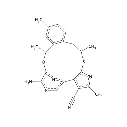 Cc1ccc2c(c1)[C@@H](C)Oc1nc(cnc1N)-c1c(nn(C)c1C#N)SN(C)C2